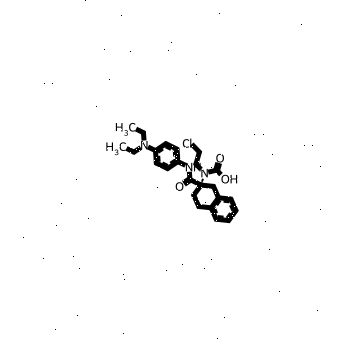 CCN(CC)c1ccc(NC(=O)[C@]2(N(CCCl)C(=O)O)CCc3ccccc3C2)cc1